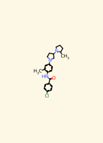 Cc1cc(N2CCC(N3CCCC3C)C2)ccc1NC(=O)c1ccc(Cl)cc1